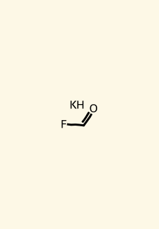 O=CF.[KH]